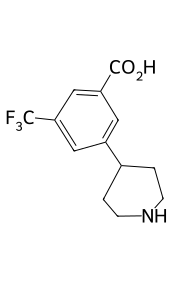 O=C(O)c1cc(C2CCNCC2)cc(C(F)(F)F)c1